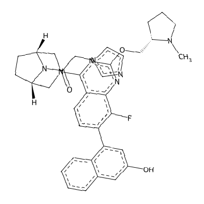 CN1CCC[C@H]1COc1nc(N2C[C@H]3CC[C@@H](C2)N3C(=O)Cn2ccnc2)c2ccc(-c3cc(O)cc4ccccc34)c(F)c2n1